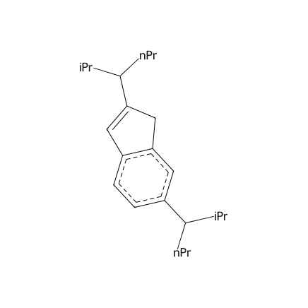 CCCC(C1=Cc2ccc(C(CCC)C(C)C)cc2C1)C(C)C